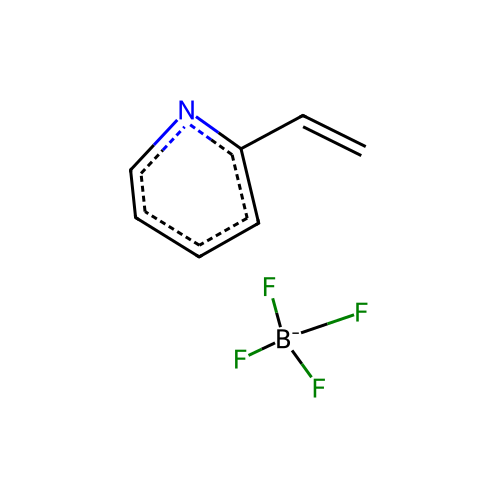 C=Cc1ccccn1.F[B-](F)(F)F